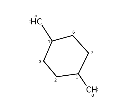 [CH]C1CCC([CH])CC1